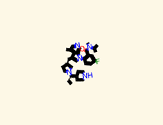 CC[C@@H](C1CCNCC1)N1CC[C@@H](Cc2cn(-c3ccc(F)cc3C(=O)N(C)C(C)C)c3cncc(C)c23)C1